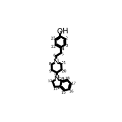 Oc1ccc(CCN2CCC(N3CCc4ccccc43)CC2)cc1